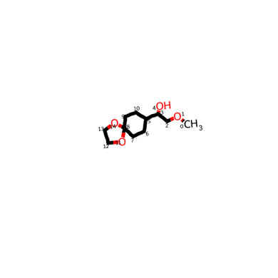 COCC(O)C1CCC2(CC1)OCCO2